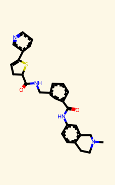 CN1CCc2ccc(NC(=O)c3cccc(CNC(=O)C4CC=C(c5cccnc5)S4)c3)cc2C1